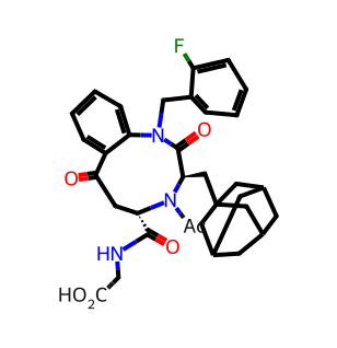 CC(=O)N1[C@H](CC23CC4CC(CC(C4)C2)C3)C(=O)N(Cc2ccccc2F)c2ccccc2C(=O)C[C@H]1C(=O)NCC(=O)O